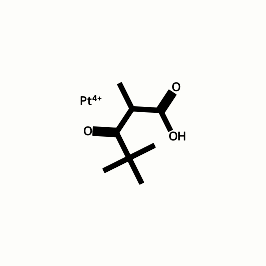 CC(C(=O)O)C(=O)C(C)(C)C.[Pt+4]